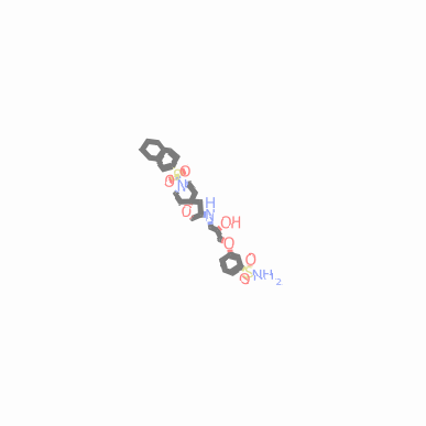 NS(=O)(=O)c1cccc(OCC(O)CNC2COC3(CCN(S(=O)(=O)c4ccc5c(c4)CCCC5)CC3)C2)c1